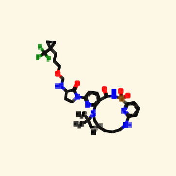 CC1(C)C[C@@H]2CCCNc3cccc(n3)S(=O)(=O)NC(=O)c3ccc(N4CCC(NCOCCCC5(C(F)(F)F)CC5)C4=O)nc3N1C2